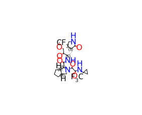 O=C(NC1(C(F)(F)F)CC1)C(=O)N1C[C@@H]2CCC[C@@H]2[C@H]1C(=O)N[C@@H](C[C@@H]1CCNC1=O)C(=O)COC(F)(F)F